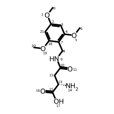 COc1cc(OC)c(CNC(=O)C[C@H](N)C(=O)O)c(OC)c1